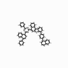 c1ccc(-c2nc(-c3ccc(-c4ccccc4)c4ccccc34)nc(-c3cc4sc5c(-c6ccc(-c7cccc8ccccc78)cc6)cccc5c4c4ccccc34)n2)cc1